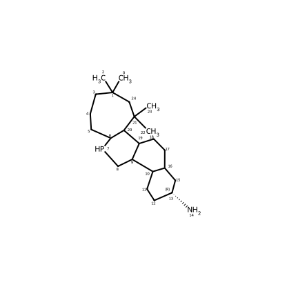 CC1(C)CCCC2PCC3C4CC[C@@H](N)CC4CCC3C2C(C)(C)C1